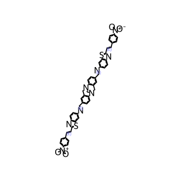 O=[N+]([O-])c1ccc(/C=C/c2nc3ccc(/N=C/c4ccc5c(c4)CN4CN5Cc5cc(/C=N/c6ccc7nc(/C=C/c8ccc([N+](=O)[O-])cc8)sc7c6)ccc54)cc3s2)cc1